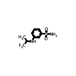 CC(Nc1cccc(S(N)(=O)=O)c1)C(F)(F)F